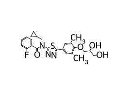 Cc1cc(-c2nnc(N(CC3CC3)C(=O)c3ccccc3F)s2)cc(C)c1OC[C@@H](O)CO